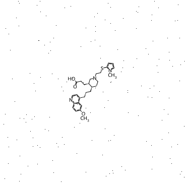 COc1ccc2nccc(CCC[C@@H]3CCN(CCSc4cccn4C)C[C@@H]3CCC(=O)O)c2c1